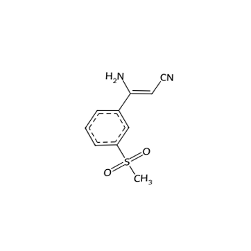 CS(=O)(=O)c1cccc(C(N)=CC#N)c1